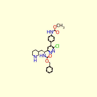 COC(=O)Nc1ccc(-c2cc([C@H](CC3CCCNC3)NC(=O)OCc3ccccc3)nnc2Cl)cc1